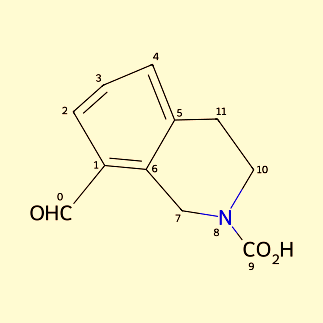 O=Cc1cccc2c1CN(C(=O)O)CC2